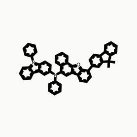 CC1(C)c2ccccc2-c2ccc(-c3cccc4c3oc3c5ccccc5c(N(c5ccccc5)c5ccc6c(c5)c5ccccc5n6-c5ccccc5)cc43)cc21